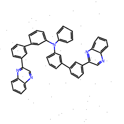 c1ccc(N(c2cccc(-c3cccc(-c4cnc5ccccc5n4)c3)c2)c2cccc(-c3cccc(-c4cnc5ccccc5n4)c3)c2)cc1